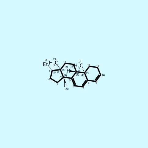 CC[C@H]1CC[C@H]2C3=CC=C4C=CCC[C@]4(C)[C@H]3CC[C@]12C